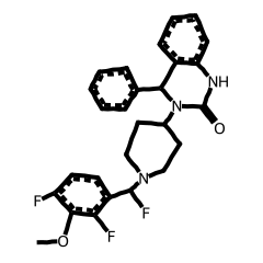 COc1c(F)ccc(C(F)N2CCC(N3C(=O)Nc4ccccc4C3c3ccccc3)CC2)c1F